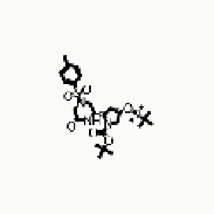 Cc1ccc(S(=O)(=O)N2CC(=O)NC([C@@H]3C[C@@H](O[Si](C)(C)C(C)(C)C)CN3C(=O)OC(C)(C)C)C2)cc1